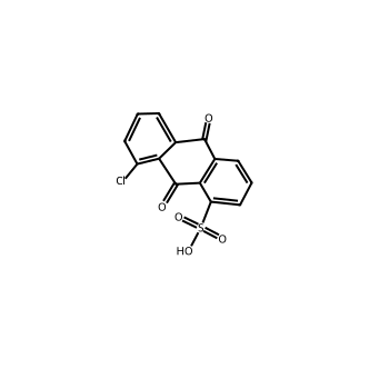 O=C1c2cccc(Cl)c2C(=O)c2c1cccc2S(=O)(=O)O